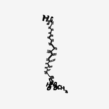 CCCCCC=CCC=CCC=CCC=CCCCCO[PH](=O)OOC